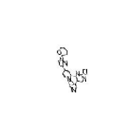 Clc1ncc(-c2cnco2)c(-c2cc(-c3ccn(C4CCCCO4)n3)ccn2)n1